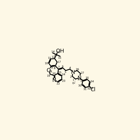 C[C@@H]1CN(CC/C=C2/C3=C(C=CC(C(C)(C)O)C3)OCc3ncccc32)CCN1c1ccc(Cl)cc1